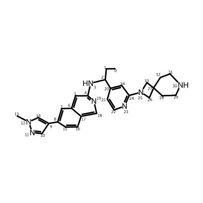 CCC(Nc1cc2cc(-c3cnn(C)c3)ccc2cn1)c1ccnc(N2CC3(CCNCC3)C2)c1